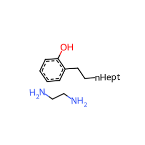 CCCCCCCCCc1ccccc1O.NCCN